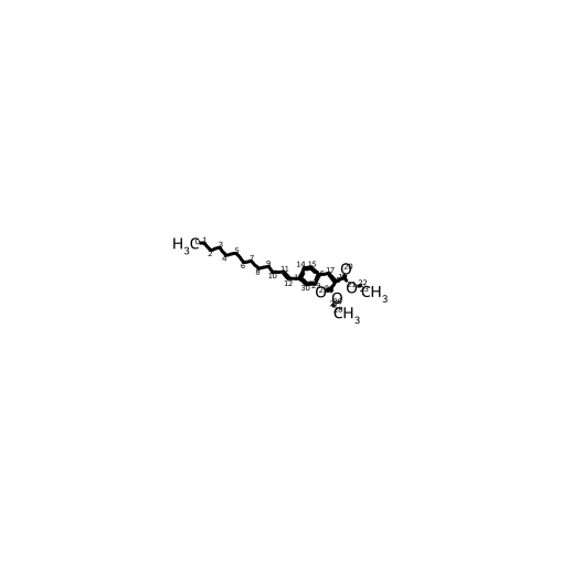 CCCCCCCCCCCC=Cc1ccc(C=C(C(=O)OCC)C(=O)OCC)cc1